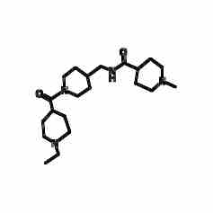 CCN1CCC(C(=O)N2CCC(CNC(=O)C3CCN(C)CC3)CC2)CC1